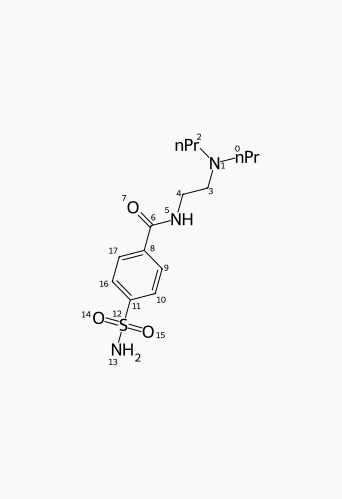 CCCN(CCC)CCNC(=O)c1ccc(S(N)(=O)=O)cc1